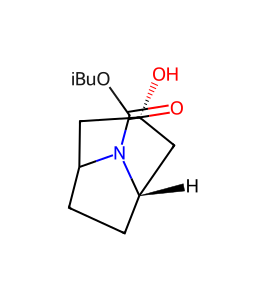 CC(C)COC(=O)N1C2CC[C@H]1C[C@@H](O)C2